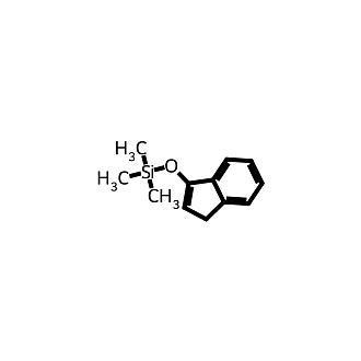 C[Si](C)(C)OC1=CCc2ccccc21